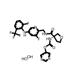 Cl.Cl.O=C(N[C@@]1(C(=O)NCc2ncc(Nc3c(F)cccc3C(F)(F)F)cc2F)CCOC1)Oc1cncnc1